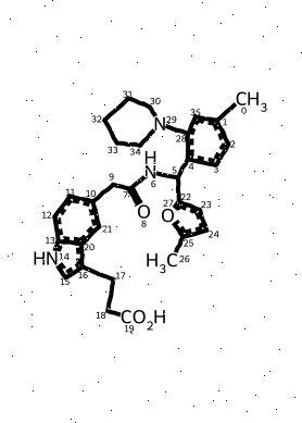 Cc1ccc(C(NC(=O)Cc2ccc3[nH]cc(CCC(=O)O)c3c2)c2ccc(C)o2)c(N2CCCCC2)c1